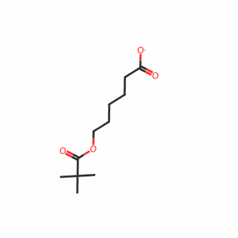 CC(C)(C)C(=O)OCCCCCC([O])=O